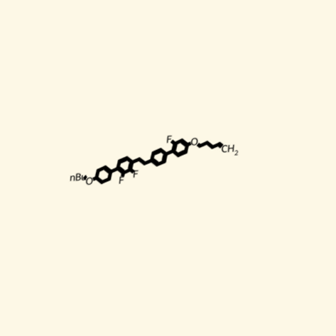 C=CCCCOc1ccc(-c2ccc(CCc3ccc(C4=CCC(OCCCC)CC4)c(F)c3F)cc2)c(F)c1